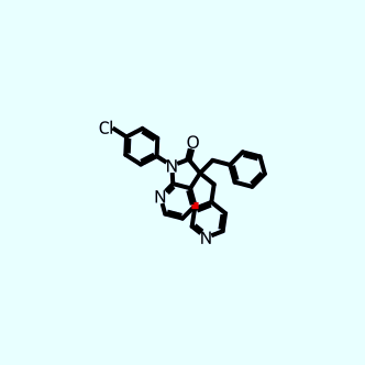 O=C1N(c2ccc(Cl)cc2)c2ncccc2C1(Cc1ccccc1)Cc1ccncc1